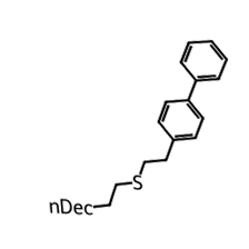 CCCCCCCCCCCCSCCc1ccc(-c2ccccc2)cc1